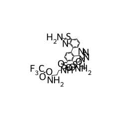 Nc1nc2c(-c3ccc(S(=O)(=O)NCCC(N)OC(=O)C(F)(F)F)c(S(N)(=O)=O)c3-c3nnn[nH]3)cccc2s1